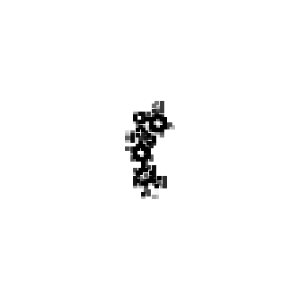 CC(=O)c1ncc(-c2ccc(NS(=O)(=O)c3cccc(Cl)c3Cl)cc2)nc1Cl